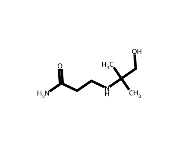 CC(C)(CO)NCCC(N)=O